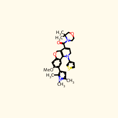 COc1cc2c(cc1-c1cc(C)n(C)c1C)C1=C(CO2)C(C(=O)N2CCOCC2(C)C)=CCN1c1ccsc1